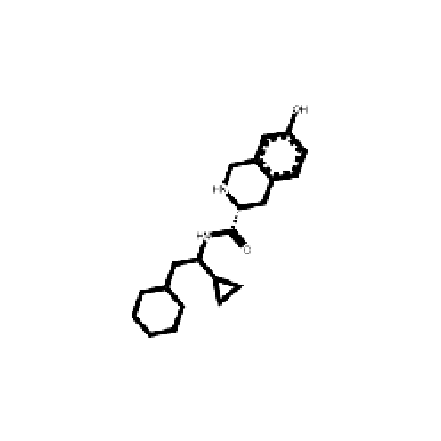 O=C(NC(CC1CCCCC1)C1CC1)[C@H]1Cc2ccc(O)cc2CN1